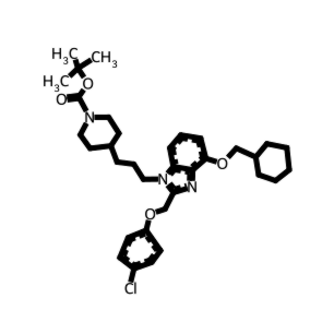 CC(C)(C)OC(=O)N1CCC(CCCn2c(COc3ccc(Cl)cc3)nc3c(OCC4CCCCC4)cccc32)CC1